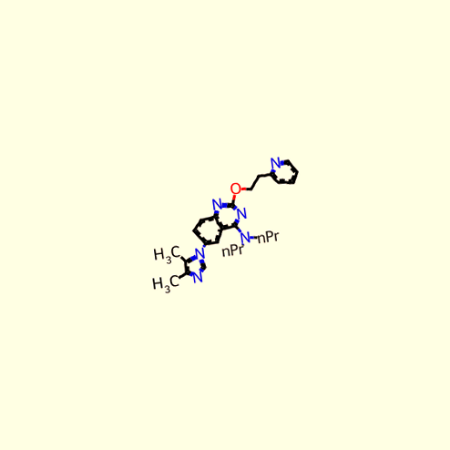 CCCN(CCC)c1nc(OCCc2ccccn2)nc2ccc(-n3cnc(C)c3C)cc12